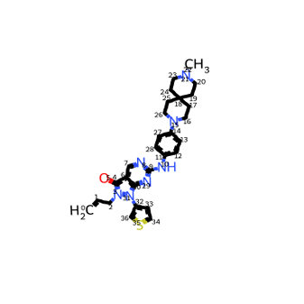 C=CCn1c(=O)c2cnc(Nc3ccc(N4CCC5(CCN(C)CC5)CC4)cc3)nc2n1-c1ccsc1